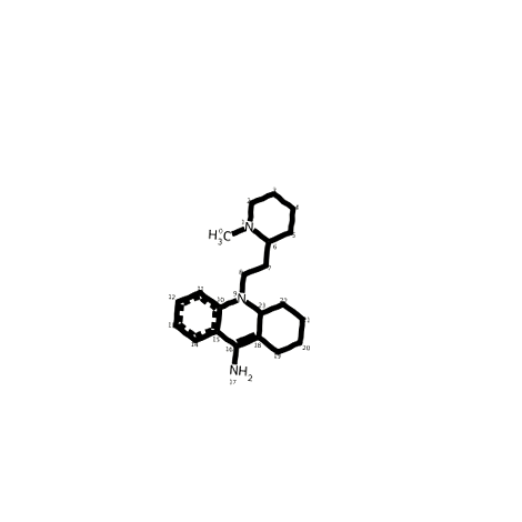 CN1CCCCC1CCN1c2ccccc2C(N)=C2CCCCC21